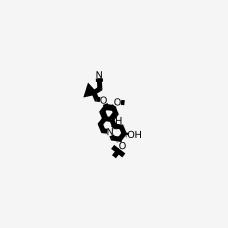 COc1cc2c(cc1OCC1(CC#N)CC1)CCN1C[C@@H](OC(C)(C)C)[C@H](O)C[C@H]21